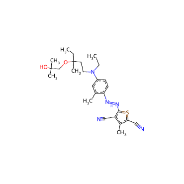 CCN(CCC(C)(CC)OCC(C)(C)O)c1ccc(/N=N/c2sc(C#N)c(C)c2C#N)c(C)c1